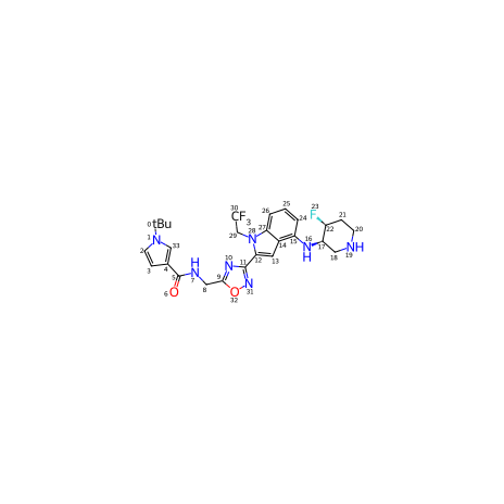 CC(C)(C)n1ccc(C(=O)NCc2nc(-c3cc4c(N[C@@H]5CNCC[C@@H]5F)cccc4n3CC(F)(F)F)no2)c1